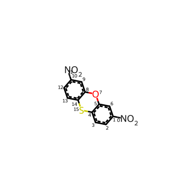 O=[N+]([O-])c1ccc2c(c1)Oc1cc([N+](=O)[O-])ccc1S2